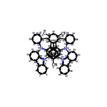 N#Cc1c(-n2c3ccccc3c3cccc(N4c5ccccc5CCc5ccccc54)c32)cc(-c2cc(C(F)(F)F)cc(C(F)(F)F)c2)cc1-n1c2ccccc2c2cccc(N3c4ccccc4CCc4ccccc43)c21